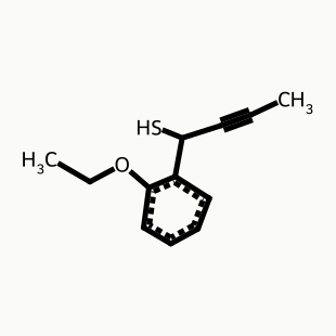 CC#CC(S)c1ccccc1OCC